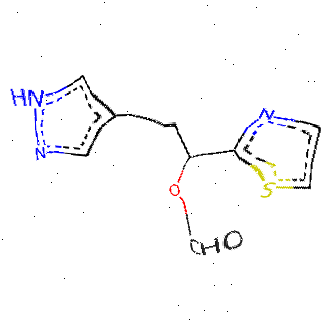 O=COC(Cc1cn[nH]c1)c1nccs1